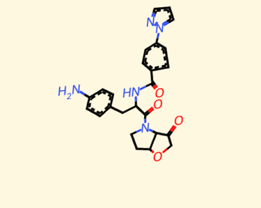 Nc1ccc(CC(NC(=O)c2ccc(-n3cccn3)cc2)C(=O)N2CCC3OCC(=O)C32)cc1